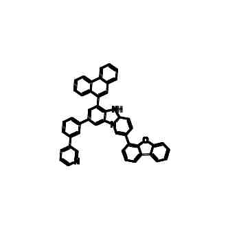 C1=CC2Nc3c(-c4cc5ccccc5c5ccccc45)cc(-c4cccc(-c5cccnc5)c4)cc3N2C=C1c1cccc2c1oc1ccccc12